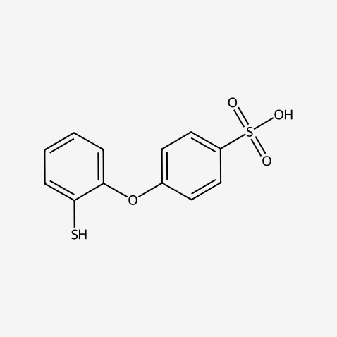 O=S(=O)(O)c1ccc(Oc2ccccc2S)cc1